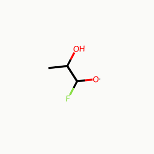 CC(O)C([O])F